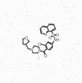 C[C@@H]1CN(CC2CCOC2)CCN1C(=O)c1ccc(NS(=O)(=O)c2cccc3cccnc23)cc1Cl